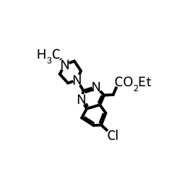 CCOC(=O)Cc1nc(N2CCN(C)CC2)nc2ccc(Cl)cc12